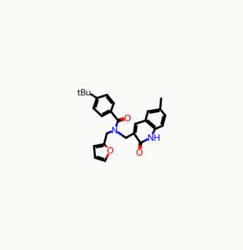 Cc1ccc2[nH]c(=O)c(CN(Cc3ccco3)C(=O)c3ccc(C(C)(C)C)cc3)cc2c1